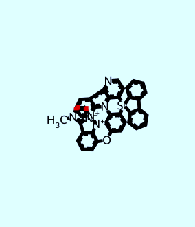 Cn1c2[n+](c3ccccc31)[N+]13c4c(cccc4-2)Oc2ccc4c(c21)-n1c2c(ccnc2c2ccc[n+]3c21)[Si]41c2ccccc2-c2ccccc21